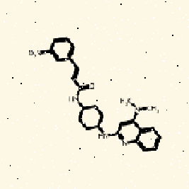 CN(C)c1cc(NC2CCC(NC(=O)C=Cc3cccc([N+](=O)[O-])c3)CC2)nc2ccccc12